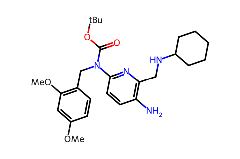 COc1ccc(CN(C(=O)OC(C)(C)C)c2ccc(N)c(CNC3CCCCC3)n2)c(OC)c1